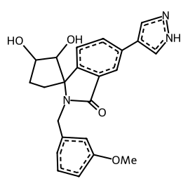 COc1cccc(CN2C(=O)c3cc(-c4cn[nH]c4)ccc3C23CCC(O)C3O)c1